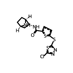 O=C(N[C@@H]1C[C@H]2CC[C@@H]1N2)c1ccc(Sc2nnc(Cl)s2)s1